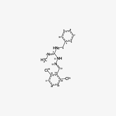 CN=C(NCc1ccccc1)NN=Cc1c(Cl)cccc1Cl